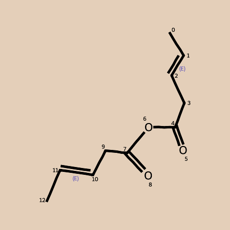 C/C=C/CC(=O)OC(=O)C/C=C/C